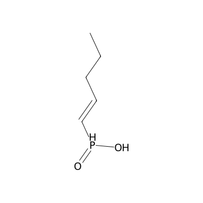 CCCC=C[PH](=O)O